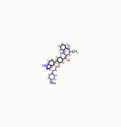 CCCCN1CCN(CCCOc2cc(C(=O)C3C[C@H](C)Nc4ccccc4N3)ccc2-c2ccc3[nH]ccc3c2)CC1